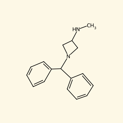 CNC1CN(C(c2ccccc2)c2ccccc2)C1